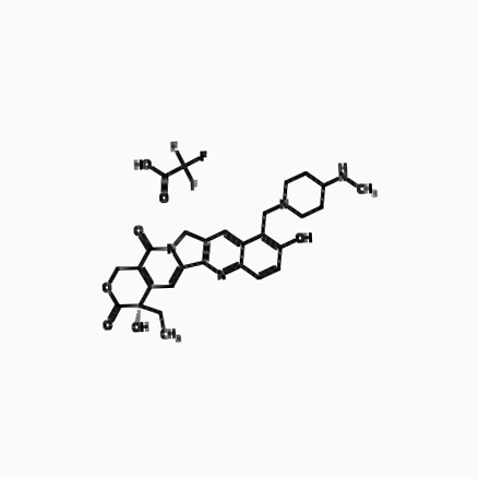 CC[C@@]1(O)C(=O)OCc2c1cc1n(c2=O)Cc2cc3c(CN4CCC(NC)CC4)c(O)ccc3nc2-1.O=C(O)C(F)(F)F